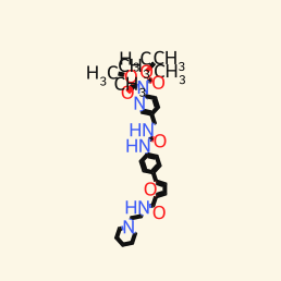 CC(C)(C)OC(=O)N(C(=O)OC(C)(C)C)c1ccc(CNC(=O)Nc2ccc(-c3ccc(C(=O)NCCN4CCCCC4)o3)cc2)cn1